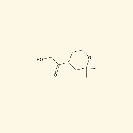 CC1(C)CN(C(=O)CO)CCO1